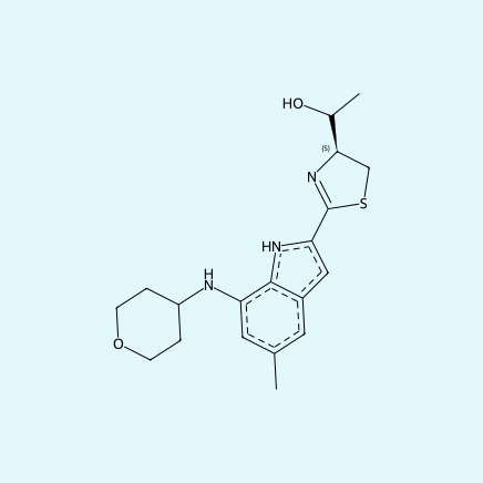 Cc1cc(NC2CCOCC2)c2[nH]c(C3=N[C@@H](C(C)O)CS3)cc2c1